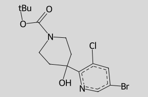 CC(C)(C)OC(=O)N1CCC(O)(c2ncc(Br)cc2Cl)CC1